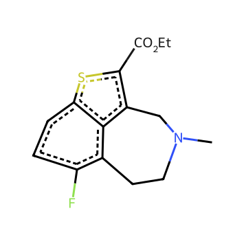 CCOC(=O)c1sc2ccc(F)c3c2c1CN(C)CC3